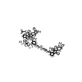 CC(C)(C)OC(=O)Nc1cccn([C@@H](CC2CC2)C(=O)N[C@@H](C[C@@H]2CCNC2=O)C(=O)C(=O)NCc2ccc(OCCOCCOCCNc3cccc4c3C(=O)N(C3CCC(=O)NC3=O)C4=O)cc2)c1=O